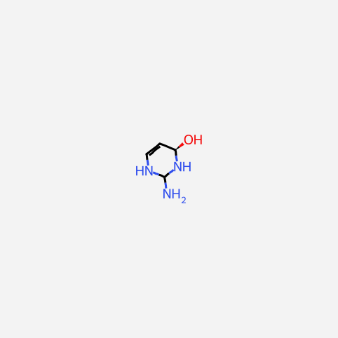 NC1NC=C[C@@H](O)N1